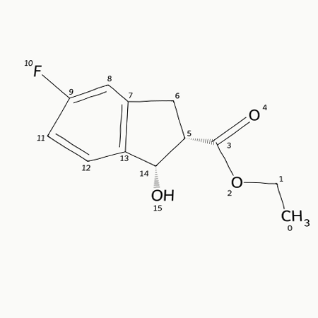 CCOC(=O)[C@H]1Cc2cc(F)ccc2[C@H]1O